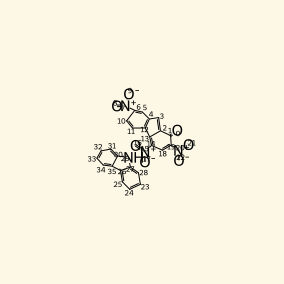 O=C1C2=Cc3cc([N+](=O)[O-])ccc3C2=C([N+](=O)[O-])C=C1[N+](=O)[O-].c1ccc2c(c1)[nH]c1ccccc12